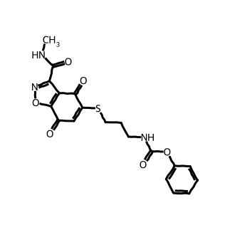 CNC(=O)c1noc2c1C(=O)C(SCCCNC(=O)Oc1ccccc1)=CC2=O